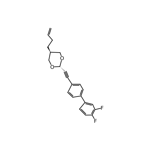 C=CCC[C@H]1CO[C@H](C#Cc2ccc(-c3ccc(F)c(F)c3)cc2)OC1